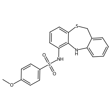 COc1ccc(S(=O)(=O)Nc2cccc3c2Nc2ccccc2CS3)cc1